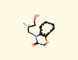 C[C@H](CO)CN1C(=O)COc2ccccc21